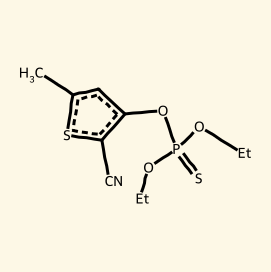 CCOP(=S)(OCC)Oc1cc(C)sc1C#N